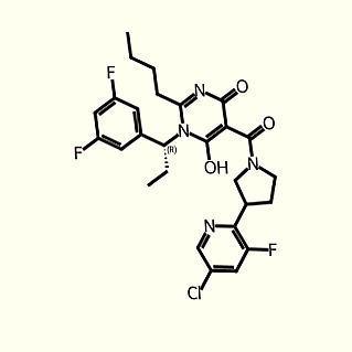 CCCCc1nc(=O)c(C(=O)N2CCC(c3ncc(Cl)cc3F)C2)c(O)n1[C@H](CC)c1cc(F)cc(F)c1